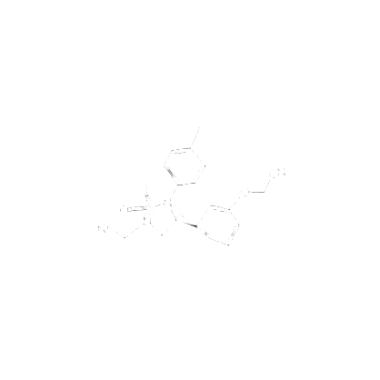 Cc1ccc(N2[C@@H](c3cccc(OCC#N)c3)CN(CC#N)S2(=O)=O)cc1